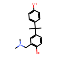 CN(C)Cc1cc(C(C)(C)c2ccc(O)cc2)ccc1O